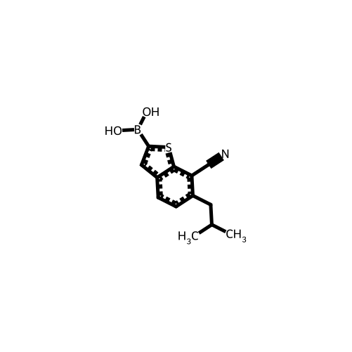 CC(C)Cc1ccc2cc(B(O)O)sc2c1C#N